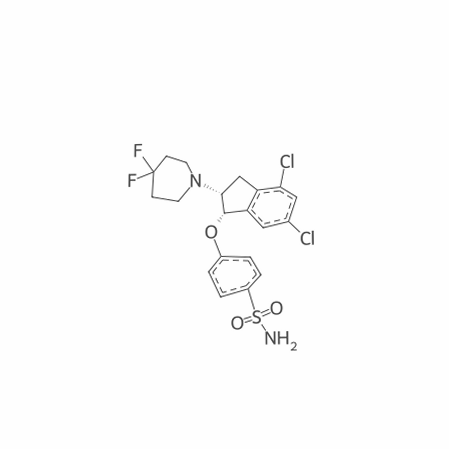 NS(=O)(=O)c1ccc(O[C@H]2c3cc(Cl)cc(Cl)c3C[C@H]2N2CCC(F)(F)CC2)cc1